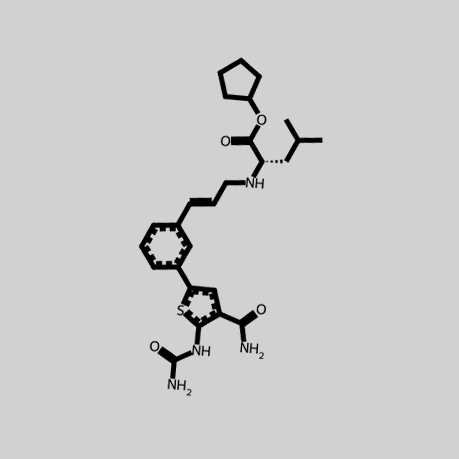 CC(C)C[C@H](NCC=Cc1cccc(-c2cc(C(N)=O)c(NC(N)=O)s2)c1)C(=O)OC1CCCC1